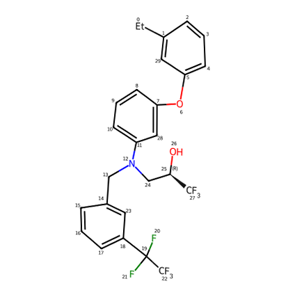 CCc1cccc(Oc2cccc(N(Cc3cccc(C(F)(F)C(F)(F)F)c3)C[C@@H](O)C(F)(F)F)c2)c1